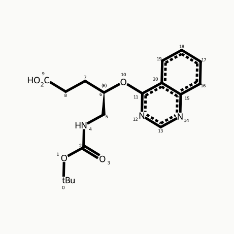 CC(C)(C)OC(=O)NC[C@@H](CCC(=O)O)Oc1ncnc2ccccc12